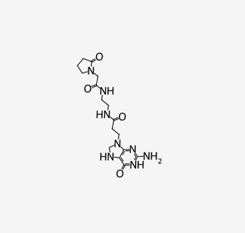 Nc1nc2c(c(=O)[nH]1)NCN2CCC(=O)NCCNC(=O)CN1CCCC1=O